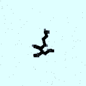 CC(C)(C)CC(C(=O)OCCO)C(C)(C)C